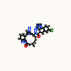 C[C@@H]1CCC[C@H](NC(=O)/C=C/c2cc(Cl)ccc2-n2cnnn2)c2nc(c[nH]2)-c2ccccc2NC(=O)C1